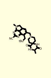 CC1NC(=O)C2(CCN(Cc3cc4c5c(nc(C#N)nc5c3CC(C)(C)C)N(C)C4)CC2)NC1=O